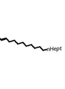 CCCCCCCCCCCCCCCCC=CI